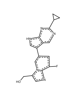 OCc1cnc2c(F)cc(-c3c[nH]c4nc(C5CC5)ncc34)cn12